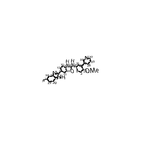 COc1ccc(NC(=O)Nc2ccc(-c3nc4cc(C)ccc4[nH]3)cc2)cc1-c1cccnc1